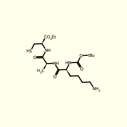 CCOC(=O)[C@H](CS)NC(=O)[C@H](C)NC(=O)[C@H](CCCCN)NC(=O)OC(C)(C)C